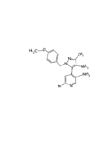 COc1ccc(Cn2nc(C)c(N)c2-c2cc(Br)ncc2N)cc1